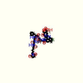 CC[C@@]1(O)C(=O)OCc2c1cc1n(c2=O)Cc2c-1nc1cc(F)c(C)c3c1c2[C@@H](N(C)C(=O)C(NC(=O)CNC(=O)[C@H](Cc1ccccc1)NC(=O)CNC(=O)CNC(=O)CCCCCN1C(=O)C=CC1=O)C(C)C)CC3